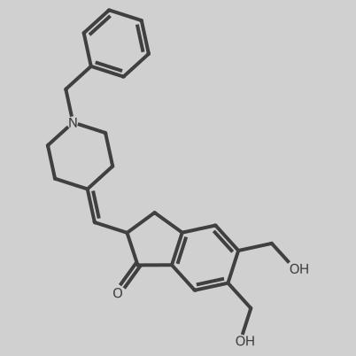 O=C1c2cc(CO)c(CO)cc2CC1C=C1CCN(Cc2ccccc2)CC1